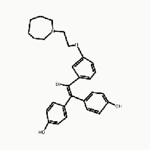 CCC(=C(c1ccc(O)cc1)c1ccc(O)cc1)c1cccc(OCCN2CCCCCC2)c1